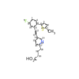 Cc1ccc(-c2ccc(F)cc2C#Cc2ccc(CCCC(=O)O)nc2)s1